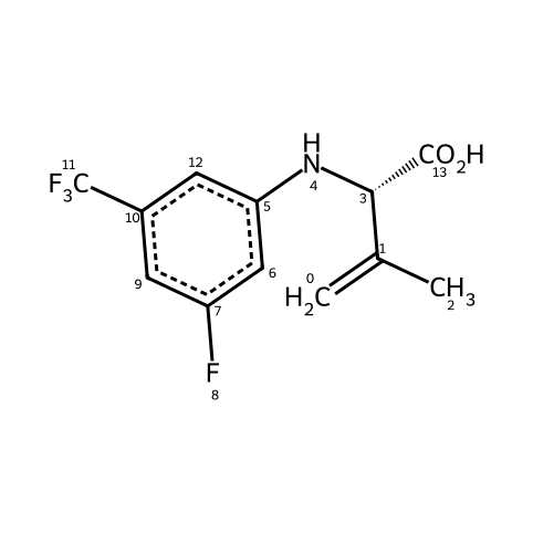 C=C(C)[C@H](Nc1cc(F)cc(C(F)(F)F)c1)C(=O)O